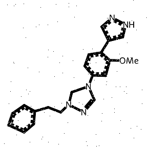 COc1cc(N2C=NN(CCc3ccccc3)C2)ccc1-c1cn[nH]c1